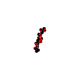 c1ccc2c(c1)-c1ccccc1C21c2cc(-c3ccc(-c4ccc5c(c4)c4ccccc4n5-c4cccc5ccccc45)c4ccccc34)ccc2-c2ccc(-c3ccc(-c4ccc5c(c4)c4ccccc4n5-c4cccc5ccccc45)c4ccccc34)cc21